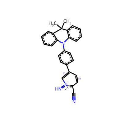 C=C(C#N)/C=C\C(=C/N=N)c1ccc(N2c3ccccc3C(C)(C)c3ccccc32)cc1